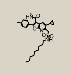 CCCCCCCCCNS(=O)(=O)Cc1nc2oc(-c3ccc(C)cc3)c(C(=O)NC)c2cc1C1CC1